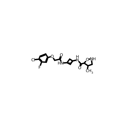 CC1CNOC1C(=O)NC12CC(NC(=O)COc3ccc(Cl)c(F)c3)(C1)C2